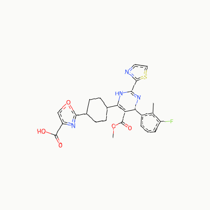 COC(=O)C1=C(C2CCC(c3nc(C(=O)O)co3)CC2)NC(c2nccs2)=NC1c1cccc(F)c1C